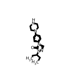 CCC(CC)n1ncn(-c2ccc(N3CCNCC3)cc2)c1=O